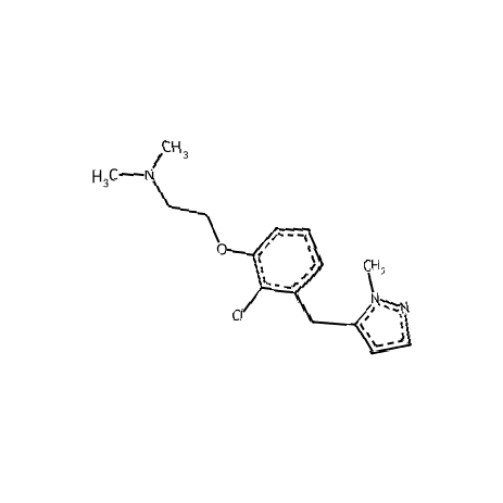 CN(C)CCOc1cccc(Cc2ccnn2C)c1Cl